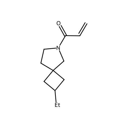 C=CC(=O)N1CCC2(CC(CC)C2)C1